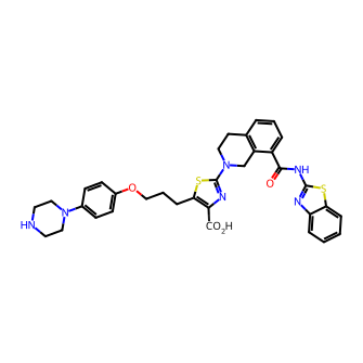 O=C(Nc1nc2ccccc2s1)c1cccc2c1CN(c1nc(C(=O)O)c(CCCOc3ccc(N4CCNCC4)cc3)s1)CC2